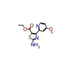 CCOC(=O)c1sc(N)nc1-c1cc(OC)ccn1